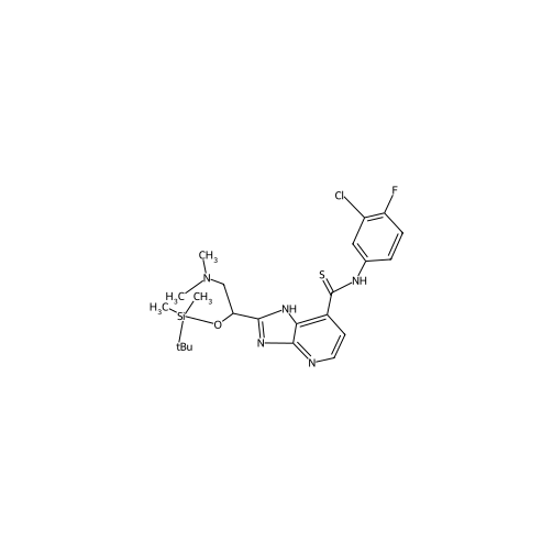 CN(C)CC(O[Si](C)(C)C(C)(C)C)c1nc2nccc(C(=S)Nc3ccc(F)c(Cl)c3)c2[nH]1